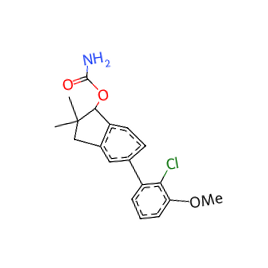 COc1cccc(-c2ccc3c(c2)CC(C)(C)C3OC(N)=O)c1Cl